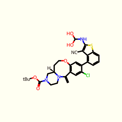 C=C1c2cc(Cl)c(-c3cccc4sc(NC(O)O)c(C#N)c34)cc2OCC[C@H]2CN(C(=O)OC(C)(C)C)CCN12